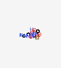 COc1nc(N2CCC(N(C)C)C2)ccc1Nc1ncc(Cl)c(N(c2ccccc2NS(C)(=O)=O)S(C)(=O)=O)n1